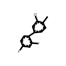 Cc1ccc(-c2ccc(F)cc2F)cc1Cl